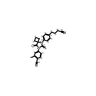 Cc1cc(N2C(=O)C3(CCC3)N(c3ccc(CCCC#N)cc3)C2=S)ccc1C#N